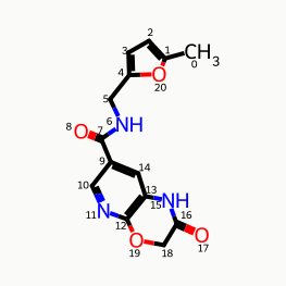 Cc1ccc(CNC(=O)c2cnc3c(c2)NC(=O)CO3)o1